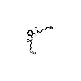 CC(C)(C)CCCCC(=O)Oc1ccccc1OC(=O)CCCCC(C)(C)C